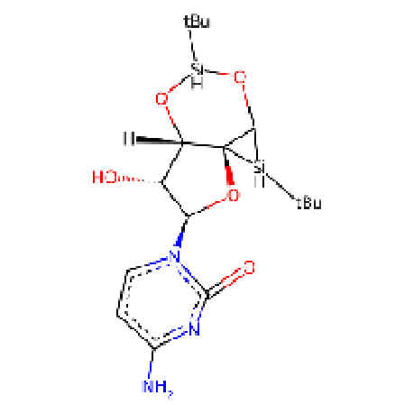 CC(C)(C)[SiH]1OC2[SiH](C(C)(C)C)[C@@]23O[C@@H](n2ccc(N)nc2=O)[C@H](O)[C@@H]3O1